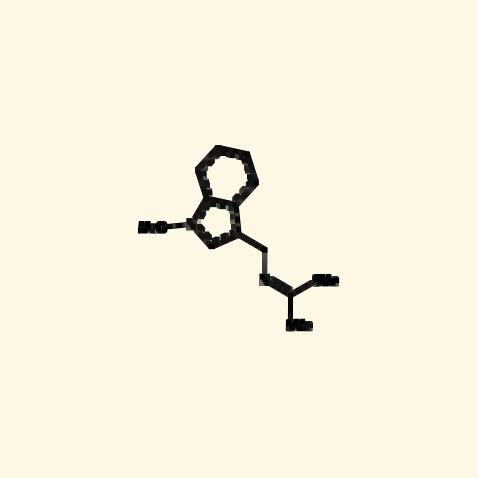 COn1cc(CN=C(SC)SC)c2ccccc21